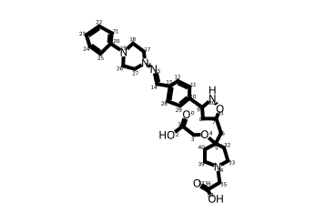 O=C(O)COC1(CC2CC(c3ccc(C=NN4CCN(c5ccccc5)CC4)cc3)NO2)CCN(CC(=O)O)CC1